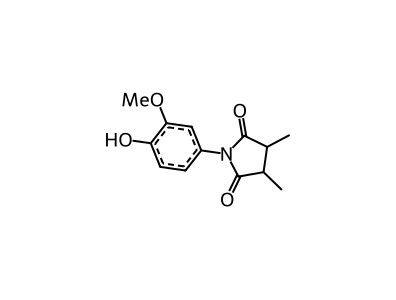 COc1cc(N2C(=O)C(C)C(C)C2=O)ccc1O